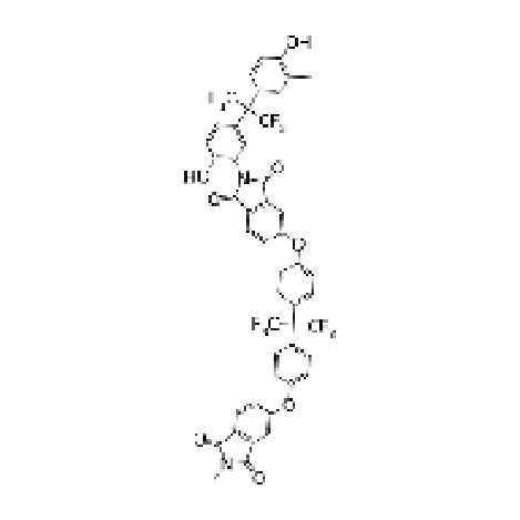 Cc1cc(C(c2ccc(O)c(N3C(=O)c4ccc(Oc5ccc(C(c6ccc(Oc7ccc8c(c7)C(=O)N(C)C8=O)cc6)(C(F)(F)F)C(F)(F)F)cc5)cc4C3=O)c2)(C(F)(F)F)C(F)(F)F)ccc1O